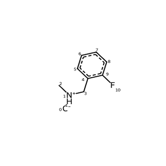 [CH2-][NH+](C)Cc1ccccc1F